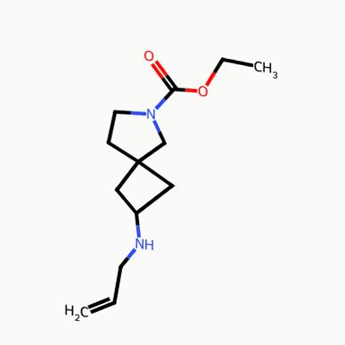 C=CCNC1CC2(CCN(C(=O)OCC)C2)C1